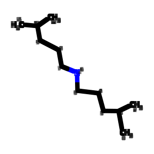 CC(C)CCC[N]CCCC(C)C